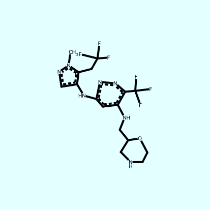 Cn1ncc(Nc2cc(NCC3CNCCO3)c(C(F)(F)F)nn2)c1CC(F)(F)F